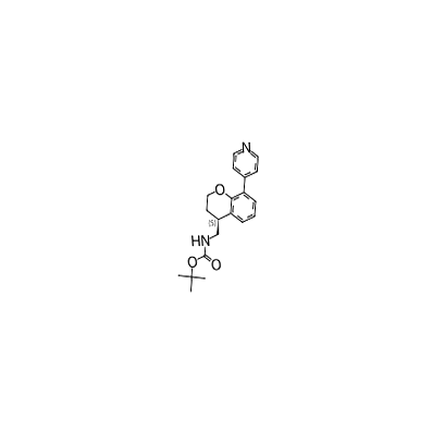 CC(C)(C)OC(=O)NC[C@H]1CCOc2c(-c3ccncc3)cccc21